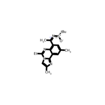 CCc1nc2c(/C(C)=N\[S@+]([O-])C(C)(C)C)cc(C)cc2c2nc(C)cn12